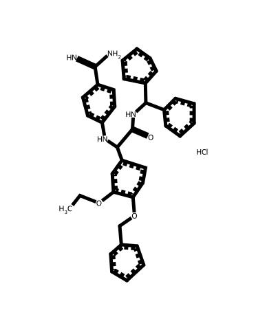 CCOc1cc(C(Nc2ccc(C(=N)N)cc2)C(=O)NC(c2ccccc2)c2ccccc2)ccc1OCc1ccccc1.Cl